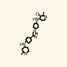 Cc1cc(Nc2ccc(-c3cn(-c4ccc(Nc5ccnc(C)c5Cl)cc4)nn3)cc2)ccn1